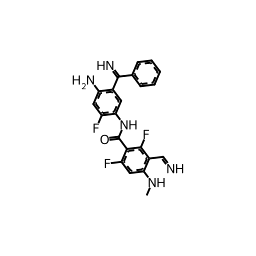 CNc1cc(F)c(C(=O)Nc2cc(C(=N)c3ccccc3)c(N)cc2F)c(F)c1C=N